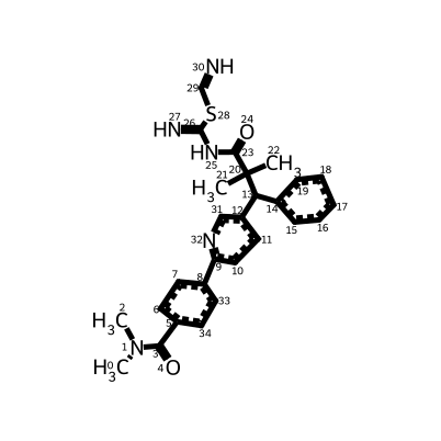 CN(C)C(=O)c1ccc(-c2ccc(C(c3ccccc3)C(C)(C)C(=O)NC(=N)SC=N)cn2)cc1